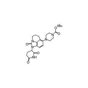 CC(C)(C)OC(=O)N1CCN(c2ccc3c4c2CCCn4c(=O)n3C2CCC(=O)NC2=O)CC1